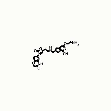 N#Cc1nc(OCCN)cc2c1CC(CNCCC1CN(c3ccc4c(n3)NC(=O)CO4)C(=O)O1)C2